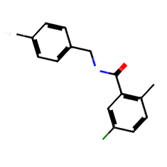 [CH2]c1ccc(Br)cc1C(=O)NCc1ccc(C#N)cc1